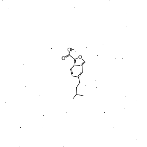 CC(C)CCc1ccc2c(C(=O)O)occ2c1